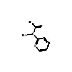 NN(C(=O)O)c1cnccn1